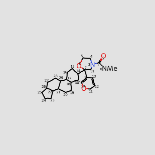 CNC(=O)N1CCOC(C2=COCC=C2)(C2CCC3C(CCC4C5CCCC5CCC34)C2)C1